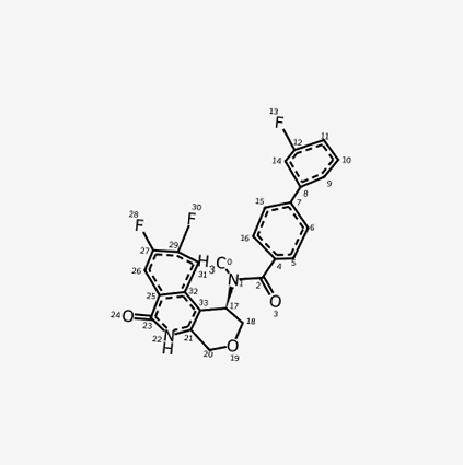 CN(C(=O)c1ccc(-c2cccc(F)c2)cc1)[C@H]1COCc2[nH]c(=O)c3cc(F)c(F)cc3c21